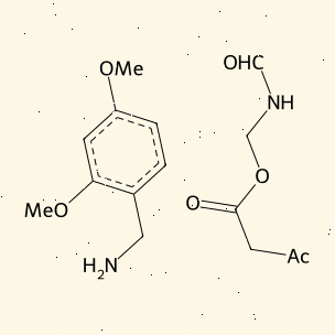 CC(=O)CC(=O)OCNC=O.COc1ccc(CN)c(OC)c1